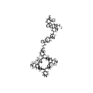 CC(Oc1cc(-c2cnn(C3CCN(C(=O)CCCC[n+]4ccc(-c5c6nc(c(-c7ccncc7)c7ccc([nH]7)c(-c7ccncc7)c7nc(c(-c8ccncc8)c8ccc5[nH]8)C=C7)C=C6)cc4)CC3)c2)cnc1N)c1c(Cl)ccc(F)c1Cl